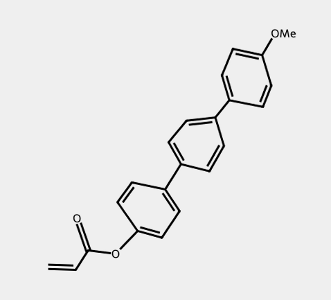 C=CC(=O)Oc1ccc(-c2ccc(-c3ccc(OC)cc3)cc2)cc1